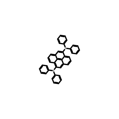 c1ccc(N(c2ccccc2)c2cc3cccc4c(N(c5ccccc5)c5ccccc5)cc5cccc2c5c34)cc1